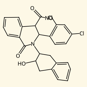 O=NC(=O)C1c2ccccc2C(=O)N(C2Cc3ccccc3CC2O)C1c1ccc(Cl)cc1Cl